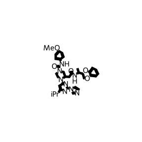 COc1ccc(NC(=O)N2CCN(c3cc(C(C)C)nc(-n4ccnc4)n3)C(CC(=O)NC(C)C3COc4ccccc4O3)C2)cc1